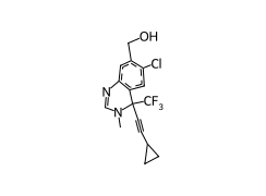 CN1C=Nc2cc(CO)c(Cl)cc2C1(C#CC1CC1)C(F)(F)F